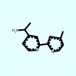 Cc1ccnc(-c2cc(C(C)N)ccn2)c1